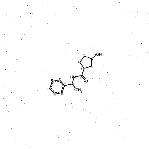 CC(NC(=O)N1CCC(O)C1)c1ccccc1